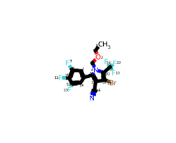 CCOCn1c(-c2cc(F)c(F)c(F)c2)c(C#N)c(Br)c1C(F)(F)F